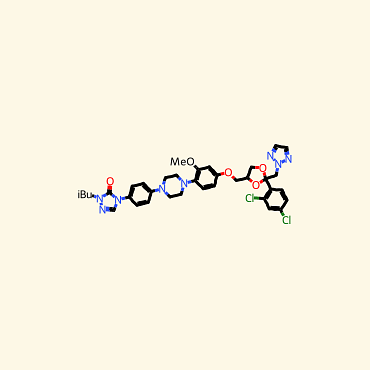 CCC(C)n1ncn(-c2ccc(N3CCN(c4ccc(OCC5COC(Cn6nccn6)(c6ccc(Cl)cc6Cl)O5)cc4OC)CC3)cc2)c1=O